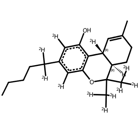 [2H]c1c(O)c2c(c([2H])c1C([2H])([2H])CCCC)OC(C([2H])([2H])[2H])(C([2H])([2H])[2H])[C@@H]1CCC(C)=C[C@@]21[2H]